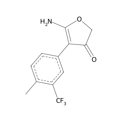 Cc1ccc(C2=C(N)OCC2=O)cc1C(F)(F)F